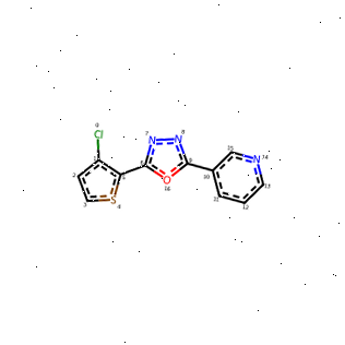 Clc1ccsc1-c1nnc(-c2cccnc2)o1